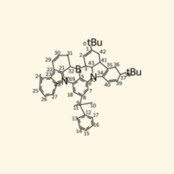 CC(C)(C)C1=CC2B3c4c(cc(C(C)(C)c5ccccc5)cc4-n4c5c(c6ccccc64)C=CCC35)N3C4=C(CC(C(C)(C)C)C=C4)C(C1)C23